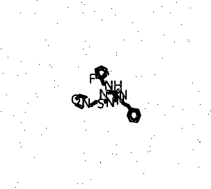 Fc1ccccc1CNc1nc(SCCN2CCOCC2)nc2c1cnn2CCc1ccccc1